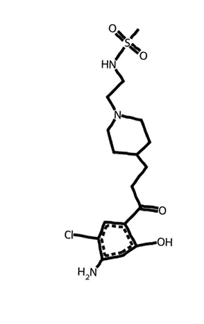 CS(=O)(=O)NCCN1CCC(CCC(=O)c2cc(Cl)c(N)cc2O)CC1